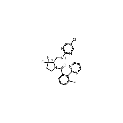 O=C(c1cccc(F)c1-c1ncccn1)N1CCC(F)(F)[C@H]1CNc1ncc(Cl)cn1